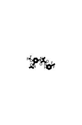 CC1=NN(c2ccc(OC(F)F)c(-c3ncc(C)o3)c2)C(=O)C1C(=O)Nc1cccc(C(C)(F)F)c1